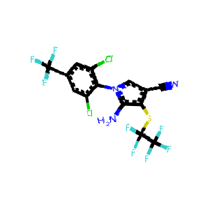 N#Cc1cn(-c2c(Cl)cc(C(F)(F)F)cc2Cl)c(N)c1SC(F)(F)C(F)(F)F